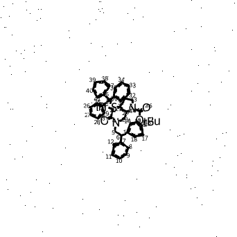 CC(C)CC(=O)N(CC(c1ccccc1)c1ccccc1)CC1C(SC(c2ccccc2)(c2ccccc2)c2ccccc2)CCN1C(=O)OC(C)(C)C